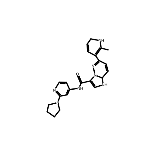 CC1=C(C2=NN3C(C(=O)Nc4ccnc(N5CCCC5)c4)=CNC3C=C2)C=CCN1